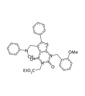 CCOC(=O)Cn1c(=O)c2c(CN(C)c3ccccc3)c(-c3ccccc3)sc2n(Cc2ccccc2OC)c1=O